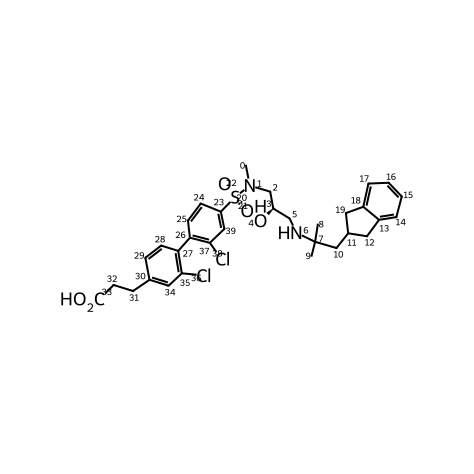 CN(C[C@H](O)CNC(C)(C)CC1Cc2ccccc2C1)S(=O)(=O)c1ccc(-c2ccc(CCC(=O)O)cc2Cl)c(Cl)c1